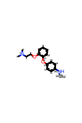 CN(C)CCOc1ccccc1Oc1ccc(NC(C)(C)C)cc1